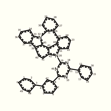 c1ccc(-c2cccc(-c3nc(-c4ccccc4)nc(-n4c5cccc6c7ccccc7n7c8ccccc8c8ccc4c(c65)c87)n3)c2)cc1